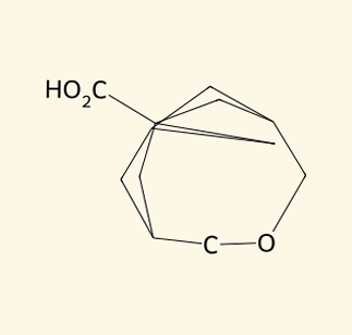 O=C(O)C12CC3COCC(CC(C3)C1)C2